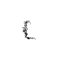 CC(Cc1ccc(-n2ccc(NC(=O)N3CCN(C(=O)C(C)(C)N)CC3)nc2=O)cc1)N(C)C1CC2(CN)CC1C2